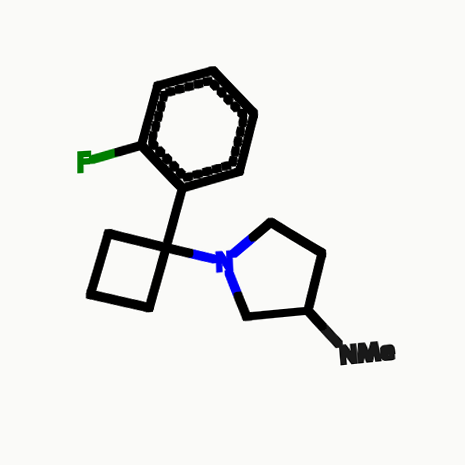 CNC1CCN(C2(c3ccccc3F)CCC2)C1